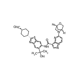 CC(C)(O)c1cc2nc([C@H]3CC[C@H](C=O)CC3)sc2cc1NC(=O)c1cnn2ccc(N3C[C@H]4C[C@@H]3CO4)nc12